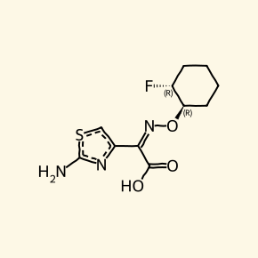 Nc1nc(C(=NO[C@@H]2CCCC[C@H]2F)C(=O)O)cs1